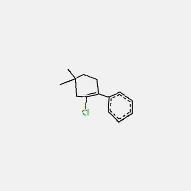 CC1(C)CCC(c2ccccc2)=C(Cl)C1